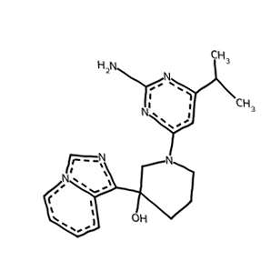 CC(C)c1cc(N2CCCC(O)(c3ncn4ccccc34)C2)nc(N)n1